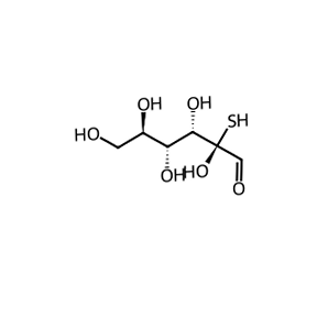 O=C[C@@](O)(S)[C@@H](O)[C@H](O)[C@H](O)CO